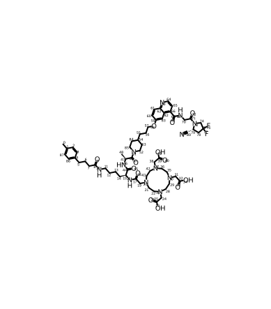 Cc1ccc(CCCC(=O)NCCCC[C@H](NC(=O)CN2CCN(CC(=O)O)CCN(CC(=O)O)CCN(CC(=O)O)CC2)C(=O)N[C@@H](C)C(=O)N2CCC(CCCOc3ccc4nccc(C(=O)NCC(=O)N5CC(F)(F)C[C@@H]5C#N)c4c3)CC2)cc1